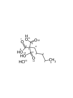 CCCCCC(C(=O)O)(C(=O)O)C(=O)O.Cl